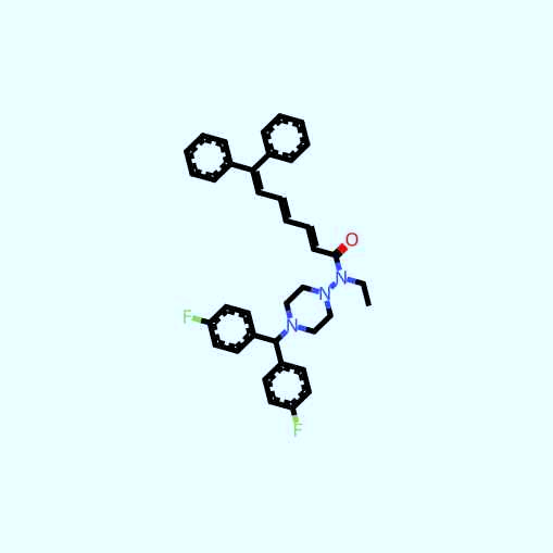 CCN(C(=O)C=CC=CC=C(c1ccccc1)c1ccccc1)N1CCN(C(c2ccc(F)cc2)c2ccc(F)cc2)CC1